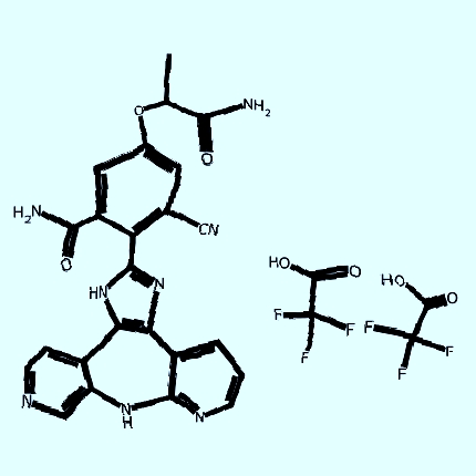 CC(Oc1cc(C#N)c(-c2nc3c([nH]2)-c2ccncc2Nc2ncccc2-3)c(C(N)=O)c1)C(N)=O.O=C(O)C(F)(F)F.O=C(O)C(F)(F)F